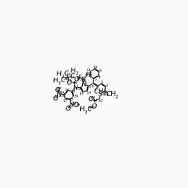 C=C(/C=C\C(C)=C(/c1ccccc1)c1ccc(N(C(=O)OC(C)(C)C)c2cc([N+](=O)[O-])cc([N+](=O)[O-])c2)n1B(F)F)SCC(=O)OC